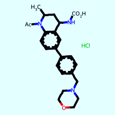 CC(=O)N1c2ccc(-c3ccc(CN4CCOCC4)cc3)cc2C(NC(=O)O)CC1C.Cl